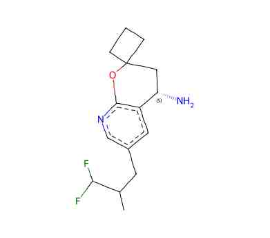 CC(Cc1cnc2c(c1)[C@@H](N)CC1(CCC1)O2)C(F)F